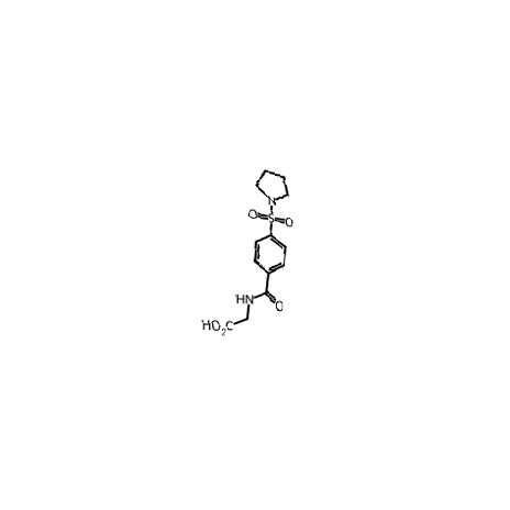 O=C(O)CNC(=O)c1ccc(S(=O)(=O)N2CCCC2)cc1